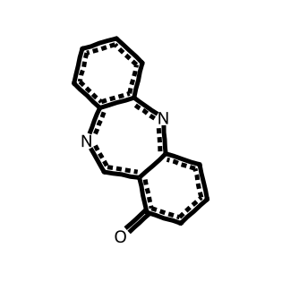 O=c1cccc2nc3ccccc3ncc1-2